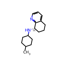 CC1CCC(N[C@H]2CCCc3cccnc32)CC1